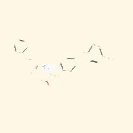 COC(=O)C(Cc1ccc(Oc2ccc(O)cc2)cc1)NC(=O)OCc1ccccc1